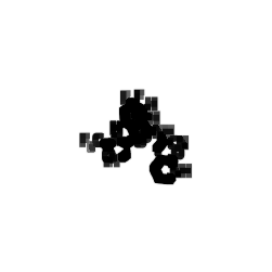 CC(C)C[C@@H](NC(=O)C(F)(F)F)C(=O)N1[C@H]2CC[C@@H]([C@@H]1C(=O)N[C@H](C#N)C[C@H]1CCCNC1=O)C(F)(F)C2